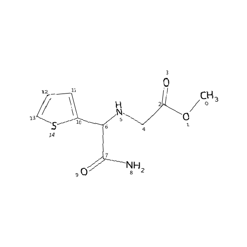 COC(=O)CNC(C(N)=O)c1cccs1